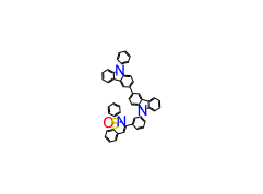 O=S1(c2ccccc2)=NC(c2cccc(-n3c4ccccc4c4cc(-c5ccc6c(c5)c5ccccc5n6-c5ccccc5)ccc43)c2)=Cc2ccccc21